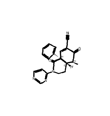 C[C@@H]1C(=O)C(C#N)=C[C@]2(c3ccccc3)C(=O)N(c3ccncn3)CC[C@@H]12